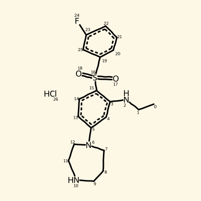 CCNc1cc(N2CCCNCC2)ccc1S(=O)(=O)c1cccc(F)c1.Cl